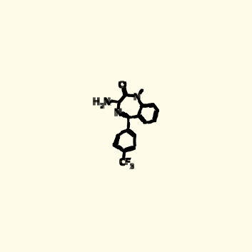 CN1C(=O)[C@H](N)N=C(c2ccc(C(F)(F)F)cc2)c2ccccc21